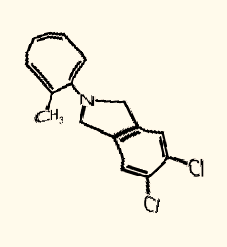 Cc1ccccc1N1Cc2cc(Cl)c(Cl)cc2C1